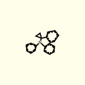 c1ccc(N(c2ccccc2)C2(c3ccccc3)CC2)cc1